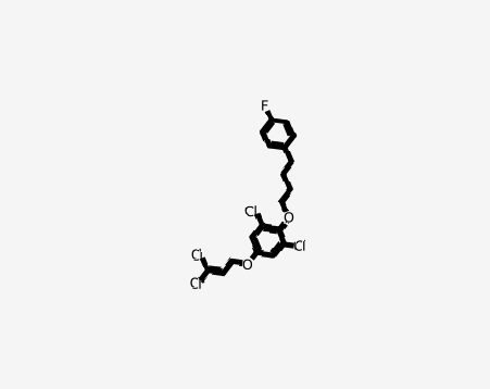 Fc1ccc(CCCCOc2c(Cl)cc(OCC=C(Cl)Cl)cc2Cl)cc1